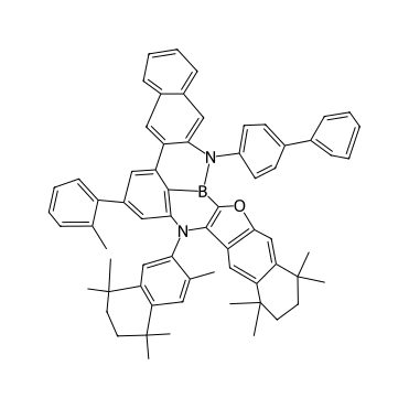 Cc1ccccc1-c1cc2c3c(c1)N(c1cc4c(cc1C)C(C)(C)CCC4(C)C)c1c(oc4cc5c(cc14)C(C)(C)CCC5(C)C)B3N(c1ccc(-c3ccccc3)cc1)c1cc3ccccc3cc1-2